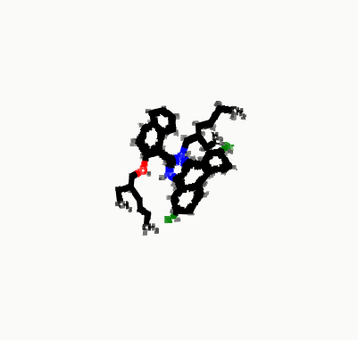 CCCCC(CC)COc1ccc2ccccc2c1-c1nc2c3cc(Br)ccc3c3ccc(Br)cc3c2n1CC(CC)CCCC